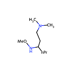 CCCC(CCN(C)C)NOC